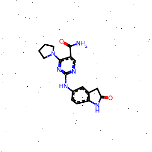 NC(=O)c1cnc(Nc2ccc3c(c2)CC(=O)N3)nc1N1CCCC1